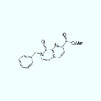 COC(=O)c1ccc2c(n1)C(=O)N(Cc1ccccc1)CC2